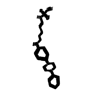 CC(C)(C)S(=O)(=O)NCCCCCNc1ccc(N2CCN(c3ccccc3)CC2)cc1